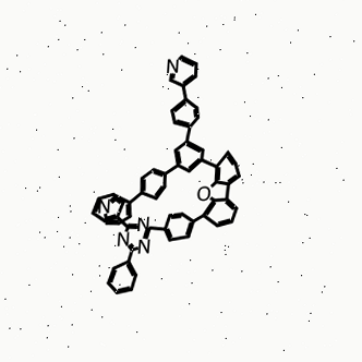 c1ccc(-c2nc(-c3ccccc3)nc(-c3ccc(-c4cccc5c4oc4c(-c6cc(-c7ccc(-c8cccnc8)cc7)cc(-c7ccc(-c8cccnc8)cc7)c6)cccc45)cc3)n2)cc1